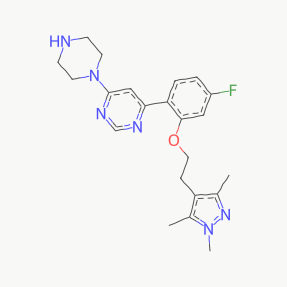 Cc1nn(C)c(C)c1CCOc1cc(F)ccc1-c1cc(N2CCNCC2)ncn1